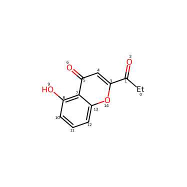 CCC(=O)c1cc(=O)c2c(O)cccc2o1